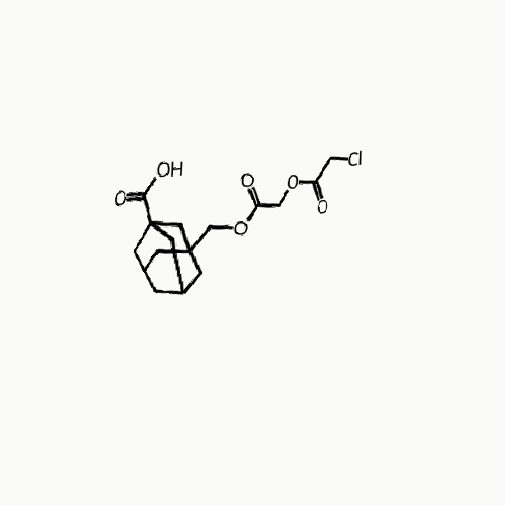 O=C(CCl)OCC(=O)OCC12CC3CC(C1)CC(C(=O)O)(C3)C2